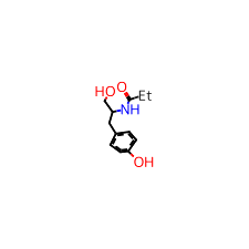 CCC(=O)NC(CO)Cc1ccc(O)cc1